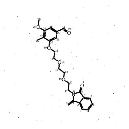 C=C1c2ccccc2C(=O)N1CCOCCOCCOc1cc(C=O)cc(OC)c1C